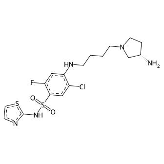 N[C@H]1CCN(CCCCNc2cc(F)c(S(=O)(=O)Nc3nccs3)cc2Cl)C1